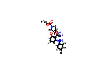 CC(C)(C)OC(=O)N1CCC(C)(Oc2cc(F)cc(Nc3ccc(I)cc3F)c2C(N)=O)C1